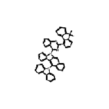 CC1(C)c2ccccc2-c2c(-c3nc(-n4c5ccccc5c5c(-n6c7ccccc7c7ccccc76)c6ccccc6cc54)c4ccccc4n3)cccc21